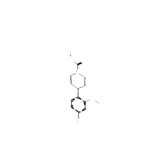 CC(C)Oc1cc(F)ccc1C1CCN(C(=O)OC(C)(C)C)CC1